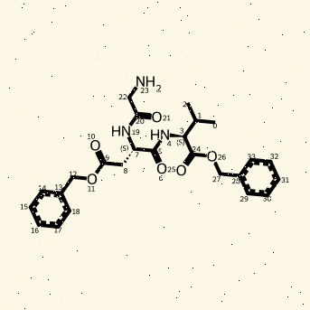 CC(C)[C@H](NC(=O)[C@H](CC(=O)OCc1ccccc1)NC(=O)CN)C(=O)OCc1ccccc1